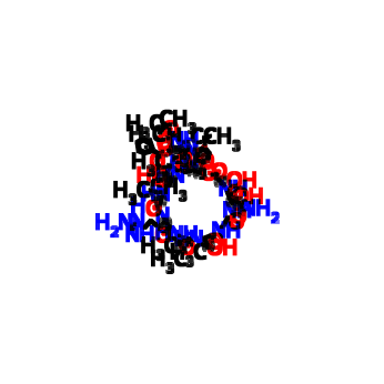 CC[C@H](C)C1NC(=O)[C@@H](CCCNC(=N)N)NC(=O)[C@H](CC(C)C)NC(=O)[C@H]([C@H](O)C(C)C)NC(=O)[C@@H](NC(=O)[C@H](CC(C)C)NC(=O)[C@@H](COC(=O)c2ccccc2)NC(=O)OC(C)(C)C)[C@@H](c2ccccc2)OC(=O)[C@H](CO)NC(=O)[C@H]([C@H](O)C(N)=O)NC(=O)CNC(=O)C([C@H](C)O)NC1=O